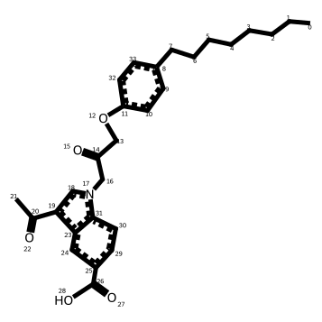 CCCCCCCCc1ccc(OCC(=O)Cn2cc(C(C)=O)c3cc(C(=O)O)ccc32)cc1